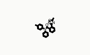 Cc1ccc(N(C(=O)c2ccccc2-c2noc(C)n2)c2ccccc2)cc1